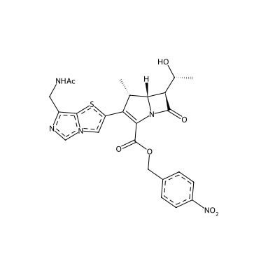 CC(=O)NCc1ncn2cc(C3=C(C(=O)OCc4ccc([N+](=O)[O-])cc4)N4C(=O)[C@H]([C@@H](C)O)[C@H]4[C@H]3C)sc12